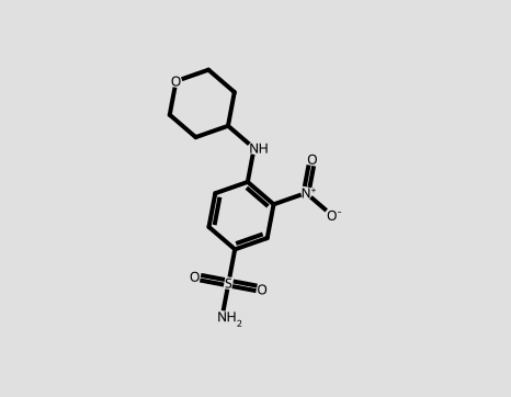 NS(=O)(=O)c1ccc(NC2CCOCC2)c([N+](=O)[O-])c1